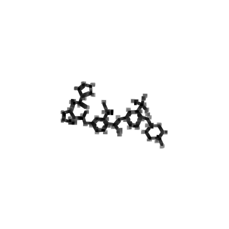 C=C(/N=C1/C=CN/C1=C(/C)Cc1ccc(/C(Cl)=C/c2ccc(CN3CCN(C)CC3)c(C(F)(F)F)c2)c(NC)c1)C1=CCC=C1